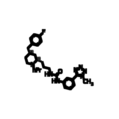 CCCN1CC[C@@H](Cc2ccc(F)cc2)C[C@@H]1CCCNC(=O)Nc1cccc(-c2nnnn2C)c1